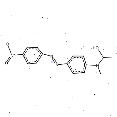 CC(O)N(C)c1ccc(/N=N/c2ccc([N+](=O)[O-])cc2)cc1